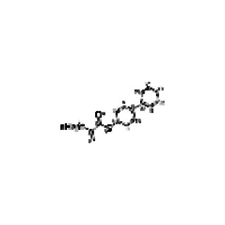 C=C(CCCCCCC)C(=O)Sc1ccc(-c2ccccc2)cc1